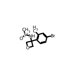 Cc1cc(Br)ccc1C1(N[S+](C)[O-])COC1